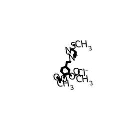 CSc1cc[n+](CCc2ccc(OC(C)=O)c(OC(C)=O)c2)cn1.[Cl-]